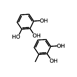 Cc1cccc(O)c1O.Oc1cccc(O)c1O